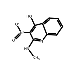 CNc1nc2ccccc2c(O)c1[N+](=O)[O-]